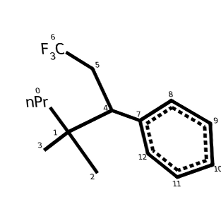 CCCC(C)(C)C(CC(F)(F)F)c1ccccc1